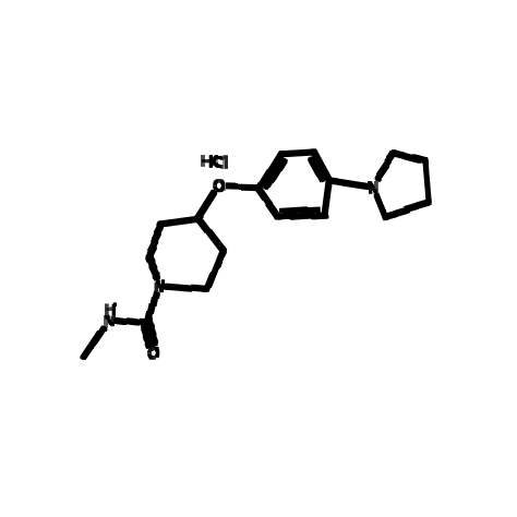 CNC(=O)N1CCC(Oc2ccc(N3CCCC3)cc2)CC1.Cl